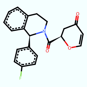 O=C1C=CO[C@@H](C(=O)N2CCc3ccccc3[C@@H]2c2ccc(F)cc2)C1